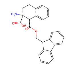 NC1(C(=O)O)CCc2ccccc2C1C(=O)OCC1c2ccccc2-c2ccccc21